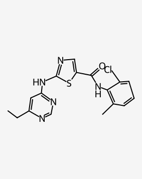 CCc1cc(Nc2ncc(C(=O)Nc3c(C)cccc3Cl)s2)ncn1